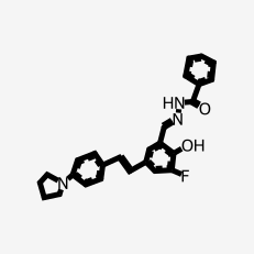 O=C(N/N=C/c1cc(/C=C/c2ccc(N3CCCC3)cc2)cc(F)c1O)c1ccccc1